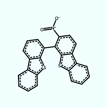 O=[N+]([O-])c1ccc2c(sc3ccccc32)c1-c1cccc2c1sc1ccccc12